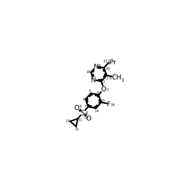 Cc1c(Oc2ccc(S(=O)(=O)C3CC3)cc2F)ncnc1C(C)C